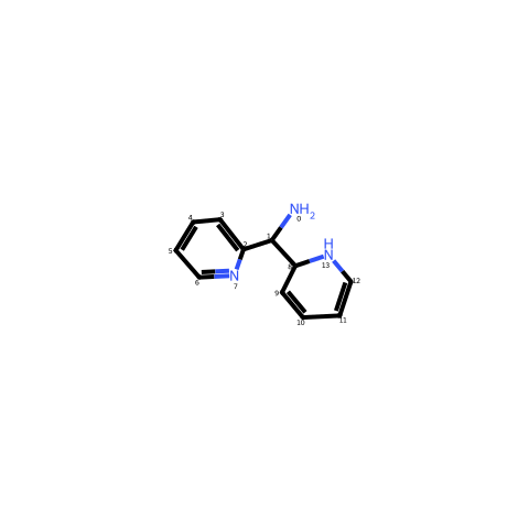 NC(c1ccccn1)C1C=CC=CN1